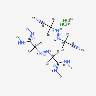 C/N=C(\NC)C(C)(C)/N=N/C(C)(C)/C(=N/C)NC.CC(C)(C#N)/N=N/C(C)(C)C#N.Cl.Cl